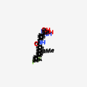 CO[C@@H]1c2ccc(C(=O)NCc3ccc(C(=NO)NO)cc3)cc2Cc2cc(-c3ccc(F)cc3F)ccc21